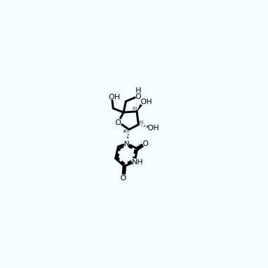 O=c1ccn([C@@H]2OC(CO)(CO)[C@@H](O)[C@@H]2O)c(=O)[nH]1